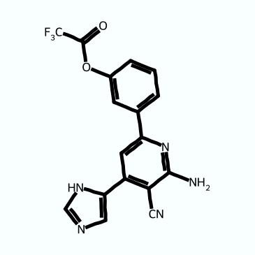 N#Cc1c(-c2cnc[nH]2)cc(-c2cccc(OC(=O)C(F)(F)F)c2)nc1N